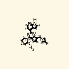 C[C@@H]1COCCN1c1nc(-c2ccnc3[nH]ccc23)nc2c(CN3CC(F)C3)csc12